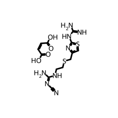 N#C/N=C(/N)NCCSCc1csc(NC(=N)N)n1.O=C(O)/C=C\C(=O)O